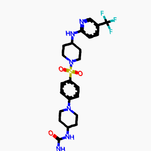 NC(=O)NC1CCN(c2ccc(S(=O)(=O)N3CCC(Nc4ccc(C(F)(F)F)cn4)CC3)cc2)CC1